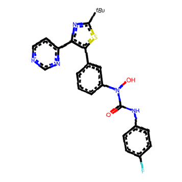 CC(C)(C)c1nc(-c2ccncn2)c(-c2cccc(N(O)C(=O)Nc3ccc(F)cc3)c2)s1